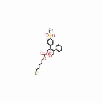 CS(=O)(=O)c1ccc(/C(COC(=O)OCCCCCBr)=C(/CO)c2ccccc2)cc1